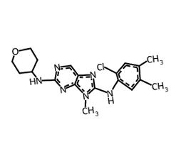 Cc1cc(Cl)c(Nc2nc3cnc(NC4CCOCC4)nc3n2C)cc1C